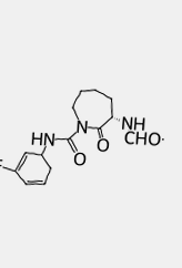 O=[C]N[C@H]1CCCCN(C(=O)NC2C=C(F)C=CC2)C1=O